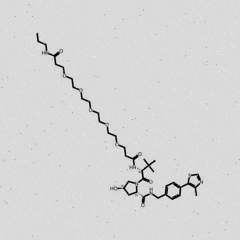 [CH2]CCNC(=O)CCOCCOCCOCCOCCOCCC(=O)N[C@@H](C(=O)N1C[C@H](O)C[C@H]1C(=O)NCc1ccc(-c2scnc2C)cc1)C(C)(C)C